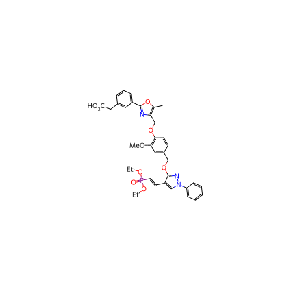 CCOP(=O)(C=Cc1cn(-c2ccccc2)nc1OCc1ccc(OCc2nc(-c3cccc(CC(=O)O)c3)oc2C)c(OC)c1)OCC